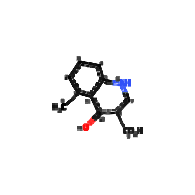 Cc1cccc2[nH]cc(C(=O)O)c(=O)c12